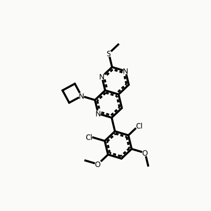 COc1cc(OC)c(Cl)c(-c2cc3cnc(SC)nc3c(N3CCC3)n2)c1Cl